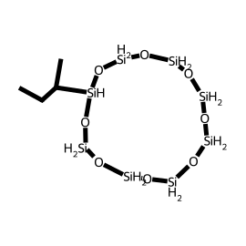 CCC(C)[SiH]1O[SiH2]O[SiH2]O[SiH2]O[SiH2]O[SiH2]O[SiH2]O[SiH2]O1